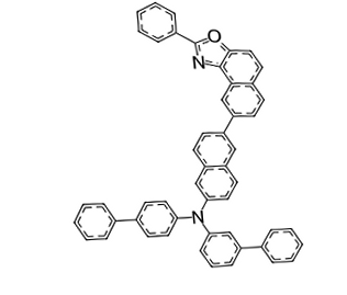 c1ccc(-c2ccc(N(c3cccc(-c4ccccc4)c3)c3ccc4cc(-c5ccc6ccc7oc(-c8ccccc8)nc7c6c5)ccc4c3)cc2)cc1